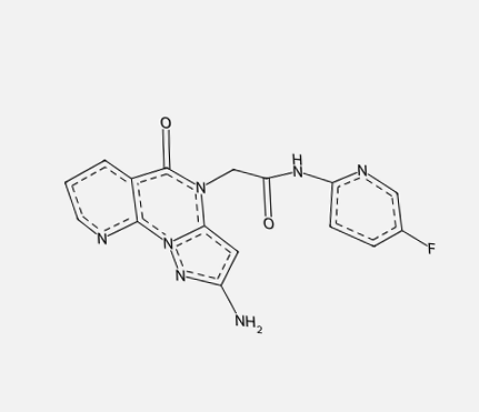 Nc1cc2n(CC(=O)Nc3ccc(F)cn3)c(=O)c3cccnc3n2n1